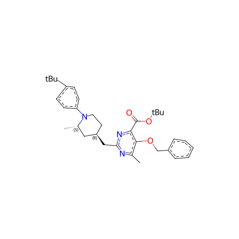 Cc1nc(C[C@@H]2CCN(c3ccc(C(C)(C)C)cc3)[C@@H](C)C2)nc(C(=O)OC(C)(C)C)c1OCc1ccccc1